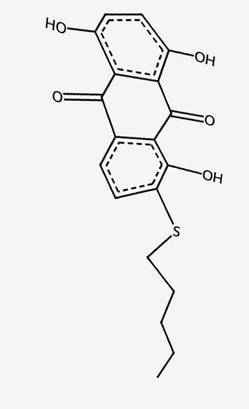 CCCCCSc1ccc2c(c1O)C(=O)c1c(O)ccc(O)c1C2=O